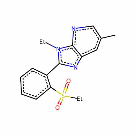 CCn1c(-c2ccccc2S(=O)(=O)CC)nc2cc(C)cnc21